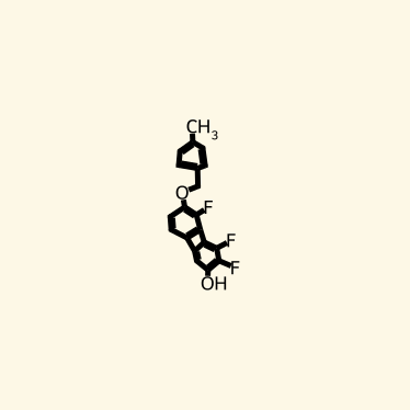 Cc1ccc(COc2ccc3c(c2F)-c2c-3cc(O)c(F)c2F)cc1